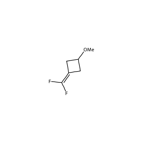 COC1CC(=C(F)F)C1